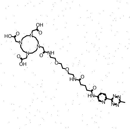 Cc1nnc(-c2ccc(NC(=O)CCCC(=O)NCCOCCOCCNC(=O)CN3CCN(CC(=O)O)CCN(CC(=O)O)CCN(CC(=O)O)CC3)cn2)nn1